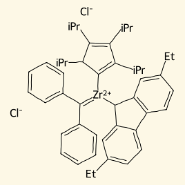 CCc1ccc2c(c1)[CH]([Zr+2]([C]1=C(C(C)C)C(C(C)C)=C(C(C)C)C1C(C)C)=[C](c1ccccc1)c1ccccc1)c1cc(CC)ccc1-2.[Cl-].[Cl-]